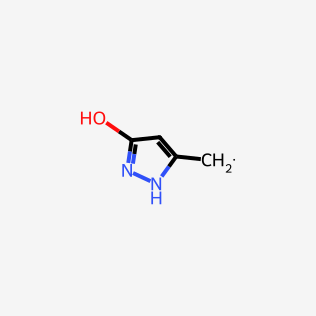 [CH2]c1cc(O)n[nH]1